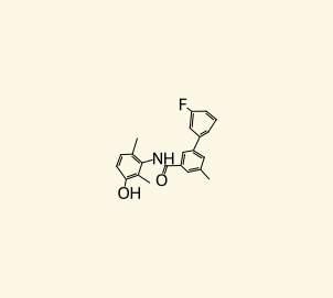 Cc1cc(C(=O)Nc2c(C)ccc(O)c2C)cc(-c2cccc(F)c2)c1